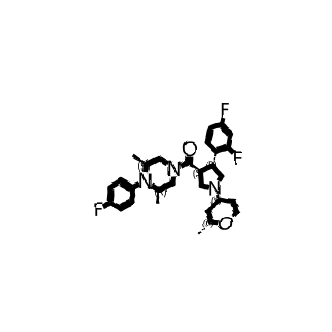 C[C@@H]1C[C@@H](N2C[C@@H](C(=O)N3C[C@@H](C)N(c4ccc(F)cc4)[C@@H](C)C3)[C@H](c3ccc(F)cc3F)C2)CCO1